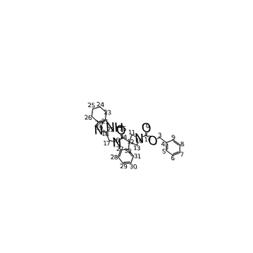 O=C(OCc1ccccc1)N1CC2(C1)C(=O)N(Cc1nc3c([nH]1)CCCC3)c1ccccc12